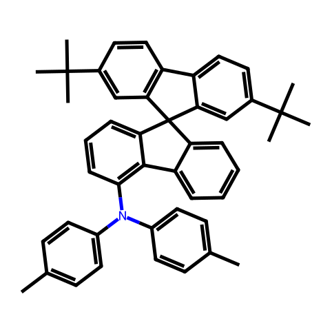 Cc1ccc(N(c2ccc(C)cc2)c2cccc3c2-c2ccccc2C32c3cc(C(C)(C)C)ccc3-c3ccc(C(C)(C)C)cc32)cc1